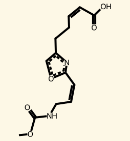 COC(=O)NC/C=C\c1nc(CC/C=C\C(=O)O)co1